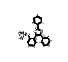 CCNCC.CNC.Clc1ccccc1-c1oc(-c2ccccc2)nc1-c1ccccc1